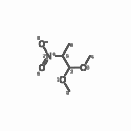 COC(OC)C(C)[N+](=O)[O-]